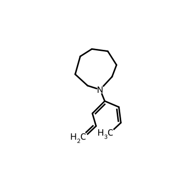 C=C/C=C(\C=C/C)N1CCCCCCC1